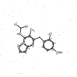 CCC(CC)Nc1c(C)c(Cc2ccc(OC)cc2Cl)nc2ccnn12